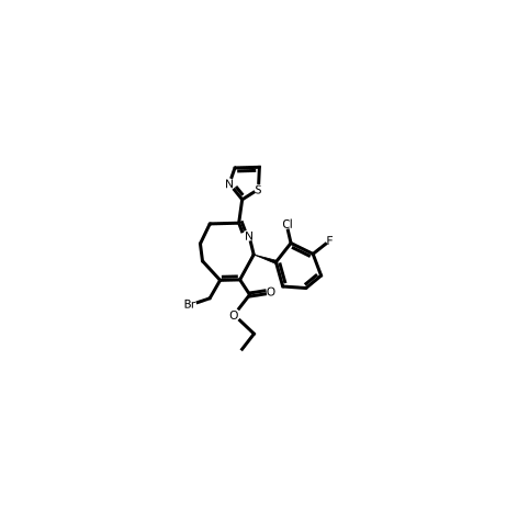 CCOC(=O)/C1=C(\CBr)CCC/C(c2nccs2)=N\[C@H]1c1cccc(F)c1Cl